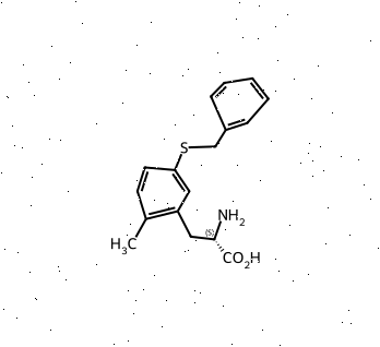 Cc1ccc(SCc2ccccc2)cc1C[C@H](N)C(=O)O